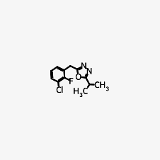 CC(C)c1nnc(Cc2cccc(Cl)c2F)o1